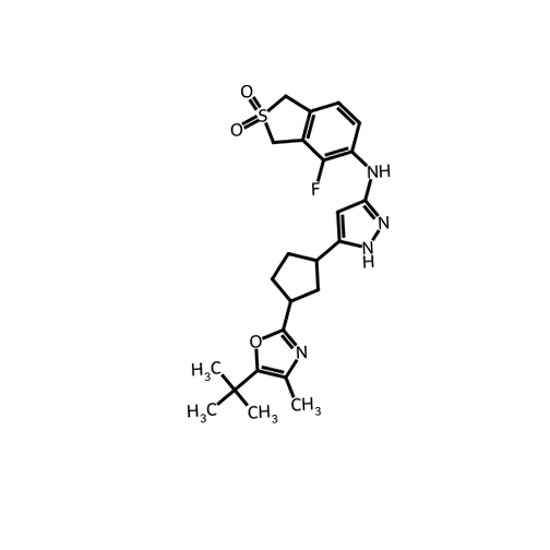 Cc1nc(C2CCC(c3cc(Nc4ccc5c(c4F)CS(=O)(=O)C5)n[nH]3)C2)oc1C(C)(C)C